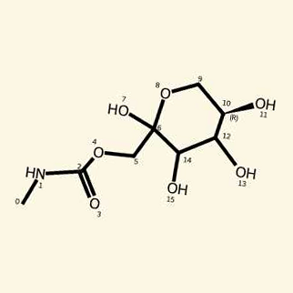 CNC(=O)OCC1(O)OC[C@@H](O)C(O)C1O